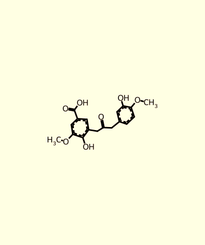 COc1ccc(CC(=O)Cc2cc(C(=O)O)cc(OC)c2O)cc1O